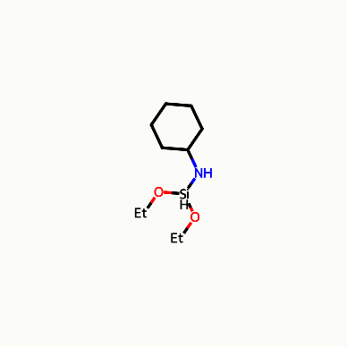 CCO[SiH](NC1CCCCC1)OCC